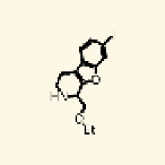 CCOCC1NCCc2c1oc1cc(I)ccc21